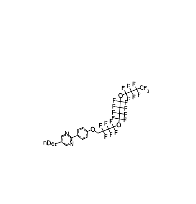 CCCCCCCCCCc1cnc(-c2ccc(OCC(F)(F)C(F)(F)C(F)(F)OC(F)(F)C(F)(F)C(F)(F)C(F)(F)OC(F)(F)C(F)(F)C(F)(F)C(F)(F)F)cc2)nc1